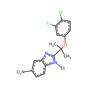 CCn1c(C(C)(C)Oc2ccc(Cl)c(F)c2)nc2cc([N+](=O)[O-])ccc21